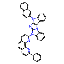 c1ccc(-c2ccc3ccc4ccc(-n5c6ccccc6n6c7c8ccccc8n(-c8ccc9ccccc9c8)c7nc56)nc4c3n2)cc1